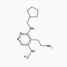 CNc1cnnc(NCC2CCCC2)c1CCN